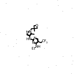 CCNc1nc(Nc2cnn(CC3(C)COC3)c2C)ncc1CC(F)(F)F